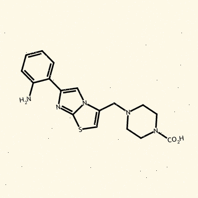 Nc1ccccc1-c1cn2c(CN3CCN(C(=O)O)CC3)csc2n1